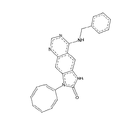 O=c1[nH]c2cc3c(NCc4ccccc4)ncnc3cc2n1C1=CC=CC=CC=C1